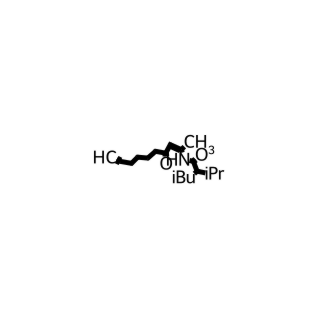 C#CCCCCC(=O)/C=C(/C)NC(=O)C(C(C)C)C(C)CC